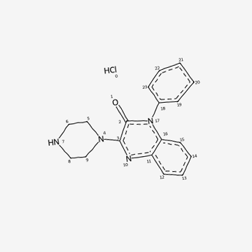 Cl.O=c1c(N2CCNCC2)nc2ccccc2n1-c1ccccc1